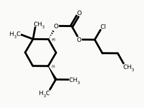 CCCC(Cl)OC(=O)O[C@@H]1C[C@@H](C(C)C)CCC1(C)C